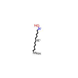 CCCCCCCCCCCCCCCCCCCC[N-]O.[K+]